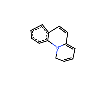 C1=CCN2C(=C1)C=Cc1ccccc12